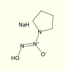 [NaH].[O-][N+](=NO)N1CCCC1